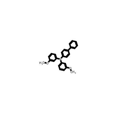 COc1cccc(N(c2ccc(-c3ccccc3)cc2)c2cccc(OC)c2)c1